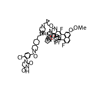 COCOc1cc(-c2ncc3c(N4CC5CCC(C4)N5C(=O)OC(C)(C)C)nc(OCC4(CN5CCN(CCC6CCC7(CC6)CCN(C(=O)c6ccc(Cl)c(N8CCC(=O)NC8=O)c6)CC7)CC5)CC4)nc3c2F)c2c(C#C[Si](C(C)C)(C(C)C)C(C)C)c(F)ccc2c1